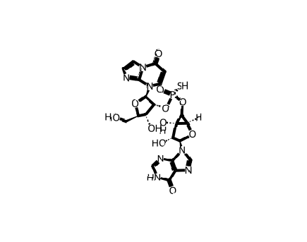 O=c1[nH]cnc2c1ncn2[C@@H]1O[C@@H]2C(OP(=O)(S)O[C@@H]3[C@H](O)[C@@H](CO)O[C@H]3n3ccc(=O)n4ccnc34)[C@]2(O)[C@H]1O